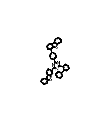 c1ccc(-c2ccccc2-c2nc(-c3ccc(-c4cccc5c4sc4ccccc45)cc3)nc(-c3ccc4c(c3)sc3ccccc34)n2)cc1